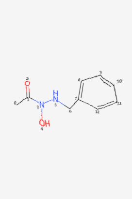 CC(=O)N(O)NCc1ccccc1